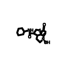 O=C1CC=C2N(O)CCC3C(C(=O)NC4CCCCC4)CSC23C1